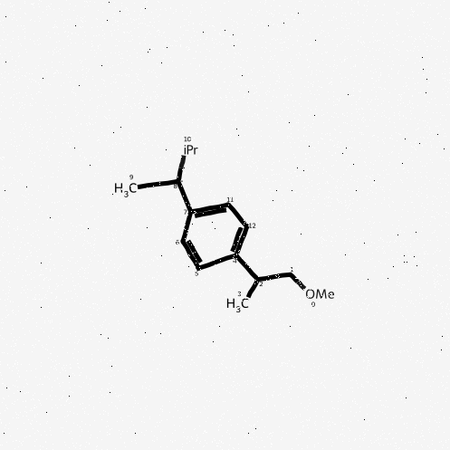 COCC(C)c1ccc([C](C)C(C)C)cc1